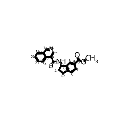 COC(=O)c1ccc2c(c1)[C@H](NC(=O)c1cncc3ccccc13)CC2